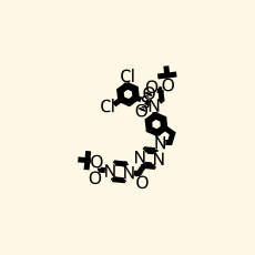 CC(C)(C)OC(=O)CN(c1ccc2c(c1)CCN2c1cnc(C(=O)N2CCN(C(=O)OC(C)(C)C)CC2)cn1)S(=O)(=O)c1cc(Cl)cc(Cl)c1